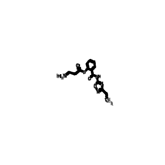 NCCC(=O)Oc1ccccc1C(=O)Nc1nc(CC(F)(F)F)no1